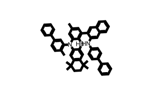 Cc1cc(-c2cc3ccccc3cc2Nc2ccc(-c3ccccc3)cc2)c2c(c1)N(c1cc(-c3ccccc3)ccc1C)c1cc3c(cc1B2)C(C)(C)CCC3(C)C